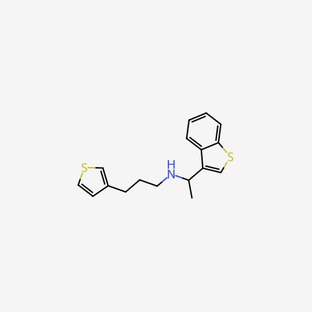 CC(NCCCc1ccsc1)c1csc2ccccc12